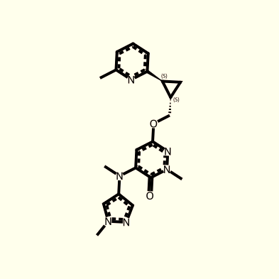 Cc1cccc([C@H]2C[C@@H]2COc2cc(N(C)c3cnn(C)c3)c(=O)n(C)n2)n1